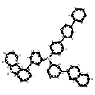 c1ccc(-c2ccc(-c3ccc(N(c4cccc(-c5ccc6ccccc6c5)c4)c4cccc(-c5cccc6sc7ccccc7c56)c4)cc3)cc2)cc1